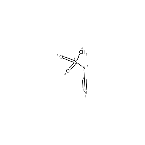 CS(=O)(=O)SC#N